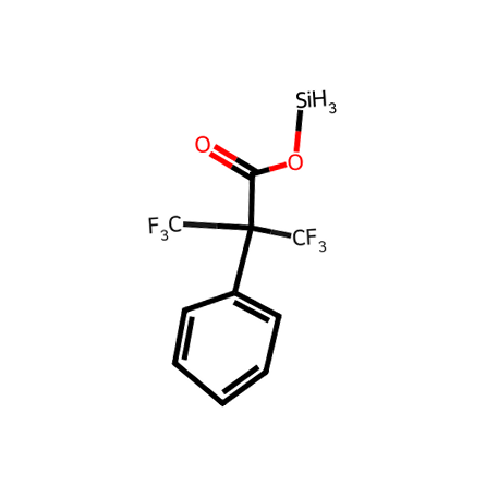 O=C(O[SiH3])C(c1ccccc1)(C(F)(F)F)C(F)(F)F